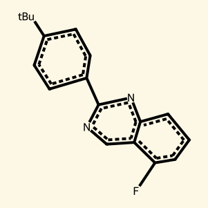 CC(C)(C)c1ccc(-c2ncc3c(F)cccc3n2)cc1